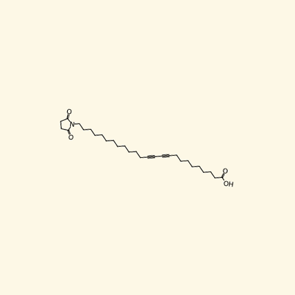 O=C(O)CCCCCCCCC#CC#CCCCCCCCCCCCCN1C(=O)CCC1=O